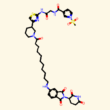 CS(=O)(=O)n1ccc(C(=O)NCC(=O)Nc2nc(C3CCCN(C(=O)CCCCCCCCCCNc4ccc5c(c4)C(=O)N(C4CCC(=O)NC4=O)C5=O)C3)cs2)c1